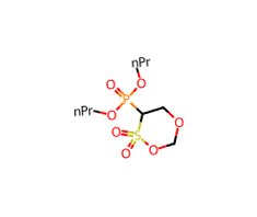 CCCOP(=O)(OCCC)C1COCOS1(=O)=O